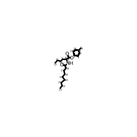 [CH2]c1ccc(OC(=O)C(CCCC)NC(=O)CCCCCCCC)cc1